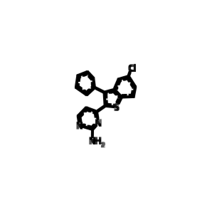 Nc1nccc(-c2sc3ccc(Cl)cc3c2-c2ccccc2)n1